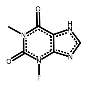 Cn1c(=O)c2[nH]cnc2n(F)c1=O